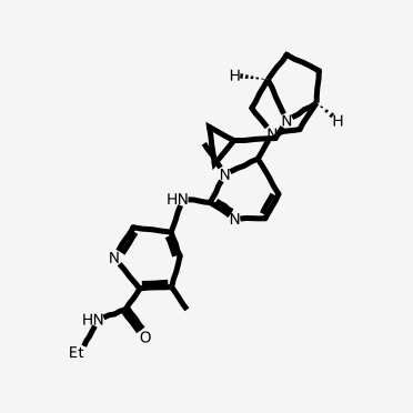 CCNC(=O)c1ncc(NC2=NC=CC(N3C[C@H]4CC[C@@H](C3)N4CC3CC3)N2C)cc1C